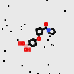 O=C(c1cccc(Oc2ccc(B(O)O)cc2)c1)N1CCCC1